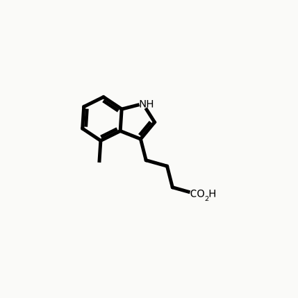 Cc1cccc2[nH]cc(CCCC(=O)O)c12